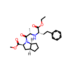 CCOC(=O)[C@H](CCc1ccccc1)N[C@@H](C)C(=O)N1[C@H](C(=O)OC)C[C@@H]2CCC[C@@H]21